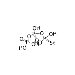 O=P(O)(O)OP(=O)(O)OP(O)(O)=[Se]